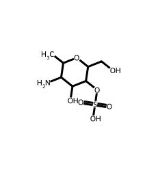 CC1OC(CO)C(OS(=O)(=O)O)C(O)C1N